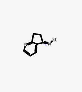 CC/N=C1\CCc2ncccc21